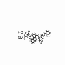 CSCCC(NC(=O)c1ccc(CN2CCSCC2COCC2CCCCC2)cc1-c1ccccc1C)C(=O)O